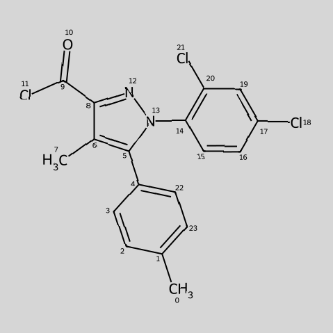 Cc1ccc(-c2c(C)c(C(=O)Cl)nn2-c2ccc(Cl)cc2Cl)cc1